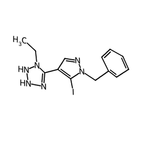 CCN1NNN=C1c1cnn(Cc2ccccc2)c1I